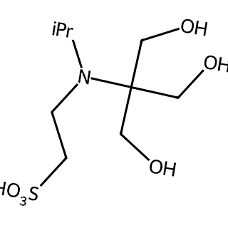 CC(C)N(CCS(=O)(=O)O)C(CO)(CO)CO